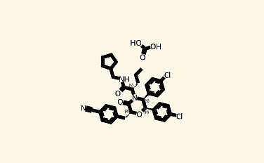 CCC[C@@H](C(=O)NCC1CCCC1)N1C(=O)[C@@H](Cc2ccc(C#N)cc2)O[C@H](c2ccc(Cl)cc2)[C@@H]1c1ccc(Cl)cc1.O=C(O)O